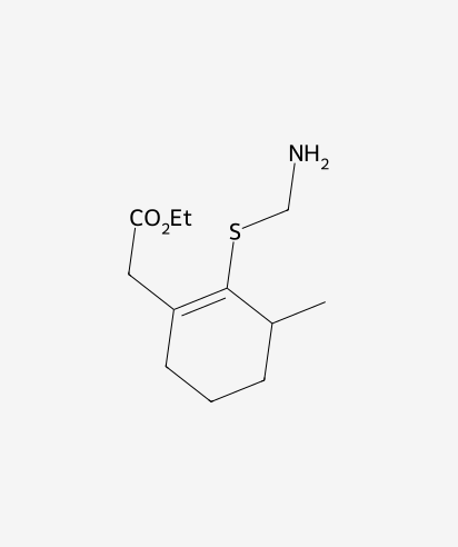 CCOC(=O)CC1=C(SCN)C(C)CCC1